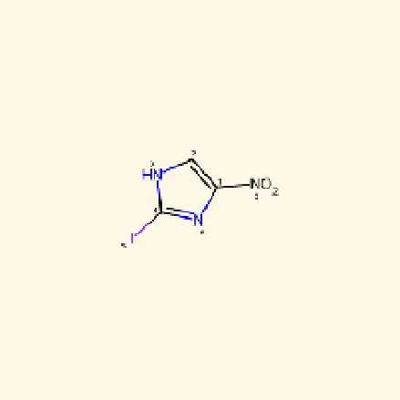 O=[N+]([O-])c1c[nH]c(I)n1